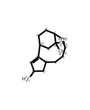 CC1C=C2C(CCCPC3CCC2CC3(C)C)C1